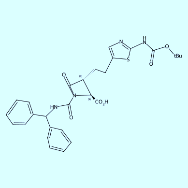 CC(C)(C)OC(=O)Nc1ncc(CC[C@H]2C(=O)N(C(=O)NC(c3ccccc3)c3ccccc3)[C@@H]2C(=O)O)s1